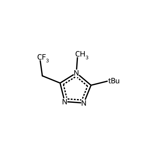 Cn1c(CC(F)(F)F)nnc1C(C)(C)C